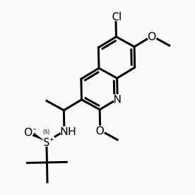 COc1cc2nc(OC)c(C(C)N[S@+]([O-])C(C)(C)C)cc2cc1Cl